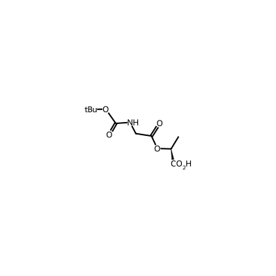 C[C@H](OC(=O)CNC(=O)OC(C)(C)C)C(=O)O